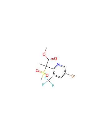 COC(=O)C(C)(c1ncc(Br)cc1C(F)(F)F)S(C)(=O)=O